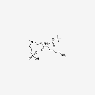 CN(CCCS(=O)(=O)O)CCNC(=O)C(CCCCN)NC(=O)OC(C)(C)C